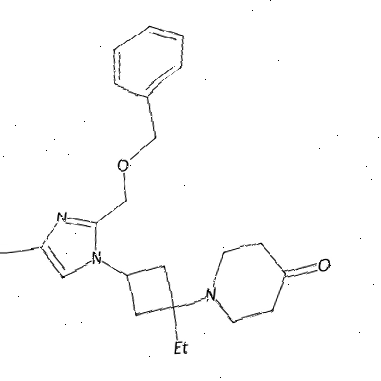 CCC1(N2CCC(=O)CC2)CC(n2cc(I)nc2COCc2ccccc2)C1